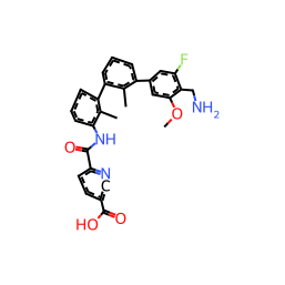 COc1cc(-c2cccc(-c3cccc(NC(=O)c4ccc(C(=O)O)cn4)c3C)c2C)cc(F)c1CN